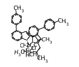 Cc1ccc(-c2cccc3c2C=C(CC(C)C)[CH]3[Zr]([Cl])([Cl])([CH]2C(CC(C)C)=Cc3c(-c4ccc(C)cc4)cccc32)[SiH](C)C)cc1